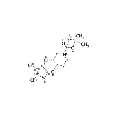 CC(C)(C)OC(=O)N1CCC(Oc2sc(Cl)c(Cl)c2Cl)CC1